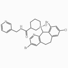 O=C(NCc1cccnc1)C1CCC[N+]([O-])(C2c3ncc(Br)cc3CCc3cc(Cl)cc(Br)c32)C1